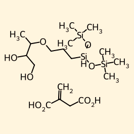 C=C(CC(=O)O)C(=O)O.CC(OCCC[SiH](O[Si](C)(C)C)O[Si](C)(C)C)C(O)CO